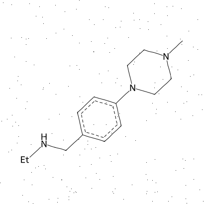 CCNCc1ccc(N2CCN(C)CC2)cc1